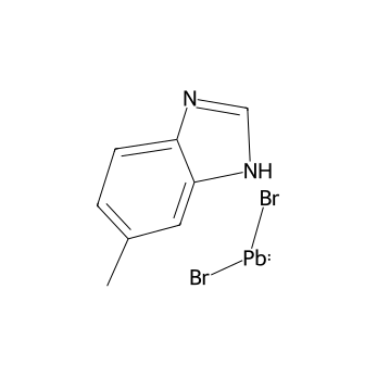 Cc1ccc2nc[nH]c2c1.[Br][Pb][Br]